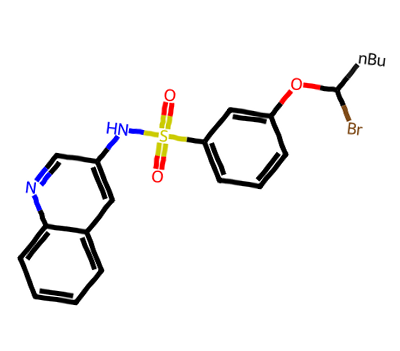 CCCCC(Br)Oc1cccc(S(=O)(=O)Nc2cnc3ccccc3c2)c1